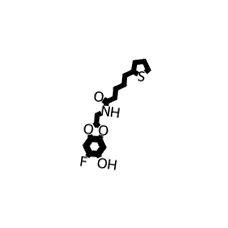 O=C(CCCCC1CCCS1)NCC1Oc2cc(O)c(F)cc2O1